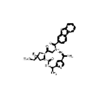 COC[C@@]1(F)C[C@@H](C(=O)NC(C)c2cc(C(=N)N)cs2)N(C(=O)CNC(=O)c2ccc3c(c2)sc2ccccc23)C1